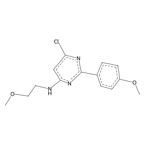 COCCNc1cc(Cl)nc(-c2ccc(OC)cc2)n1